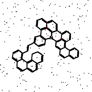 C1=Cc2ccc3ccc4cccc(C=Cc5ccc(N(c6ccc7c(ccc8ccccc87)c6)c6ccccc6-c6ccccc6)c(-c6ccccc6)c5)c4c3c2CC1